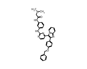 CN(C)CC(=O)Nc1cccc(Nc2nccc(-c3c(-c4ccc(OCc5ccccc5)cc4)nc4ccccn34)n2)c1